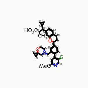 COc1cc(-c2ccc(C3CCc4ccc(C(C5CC5)[C@H](C)C(=O)O)cc4O3)cc2CN2CCOC3(CC3)C2)c(F)cn1